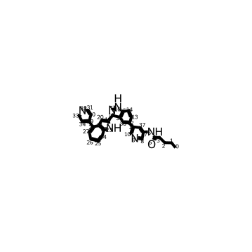 CCCCC(=O)Nc1cncc(-c2ccc3[nH]nc(-c4cc5c([nH]4)C=C=CC=C5c4ccncc4)c3c2)c1